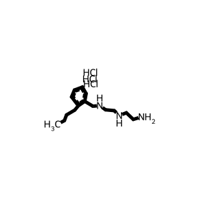 CCCCc1ccccc1CNCCNCCN.Cl.Cl.Cl